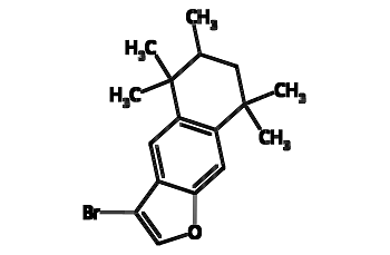 CC1CC(C)(C)c2cc3occ(Br)c3cc2C1(C)C